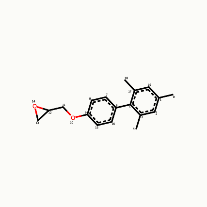 Cc1[c]c(C)c(-c2ccc(OCC3CO3)cc2)c(C)c1